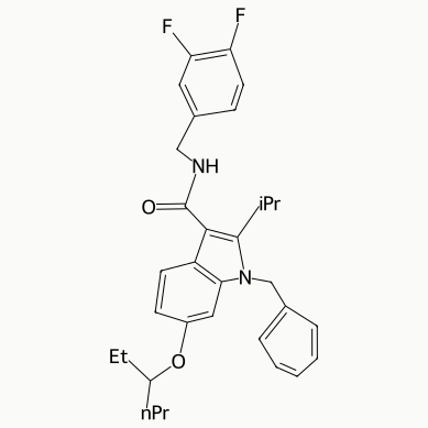 CCCC(CC)Oc1ccc2c(C(=O)NCc3ccc(F)c(F)c3)c(C(C)C)n(Cc3ccccc3)c2c1